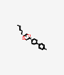 CCCCC[C@@H]1CO[C@@H](c2ccc(-c3ccc(C)cc3)cc2)CO1